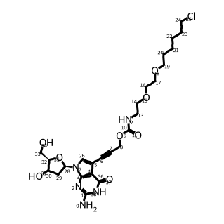 Nc1nc2c(c(C#CCOC(=O)NCCOCCOCCCCCCCl)cn2[C@H]2CC(O)[C@@H](CO)O2)c(=O)[nH]1